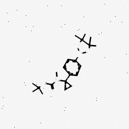 CN(C(=O)OC(C)(C)C)C1(c2ccc(B3OC(C)(C)C(C)(C)O3)cc2)CC1